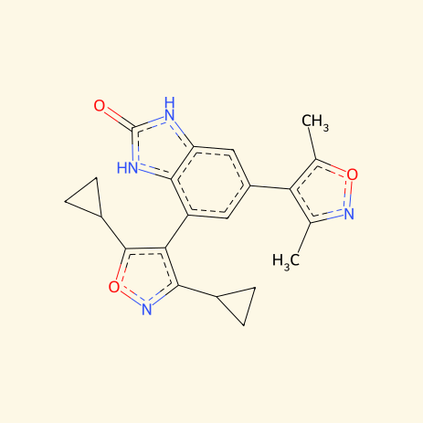 Cc1noc(C)c1-c1cc(-c2c(C3CC3)noc2C2CC2)c2[nH]c(=O)[nH]c2c1